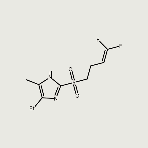 CCc1nc(S(=O)(=O)CCC=C(F)F)[nH]c1C